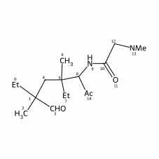 CCC(C)(C=O)CC(C)(CC)C(NC(=O)CNC)C(C)=O